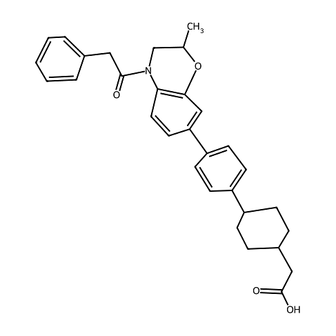 CC1CN(C(=O)Cc2ccccc2)c2ccc(-c3ccc(C4CCC(CC(=O)O)CC4)cc3)cc2O1